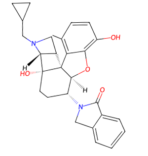 Cc1ccc(O)c2c1[C@]13C4CN(CC5CC5)[C@H]4[C@]1(O)CC[C@@H](N1Cc4ccccc4C1=O)[C@@H]3O2